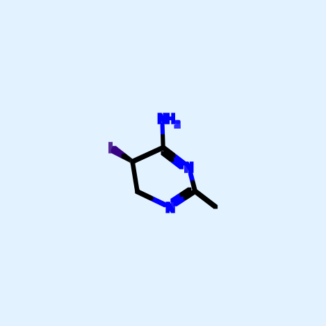 CC1=NC[C@@H](I)C(N)=N1